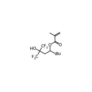 C=C(C)C(=O)OC(CC(O)(C(F)(F)F)C(F)(F)F)C(C)(C)C